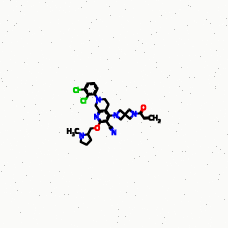 C=CC(=O)N1CC2(C1)CN(c1c(C#N)c(OCC3CCCN3C)nc3c1CCN(c1cccc(Cl)c1Cl)C3)C2